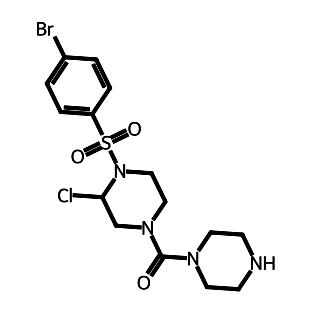 O=C(N1CCNCC1)N1CCN(S(=O)(=O)c2ccc(Br)cc2)C(Cl)C1